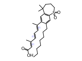 CCCCCCCCc1cc2c(cc1/C(C)=C/C=C/C(C)=C/C(=O)O)C(C)(C)CCCS2(=O)=O